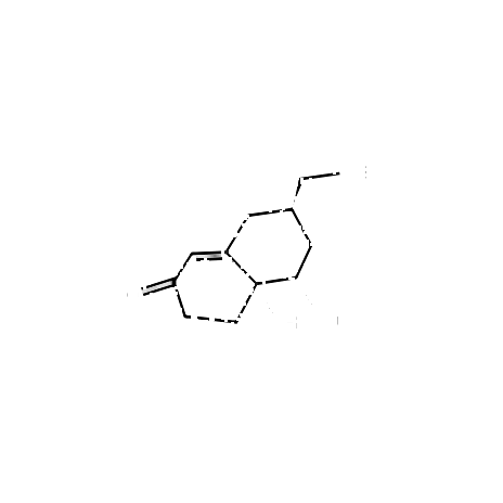 CC[C@@H]1CC2=CC(=O)CC[C@]2(C)[C@@H](C)C1